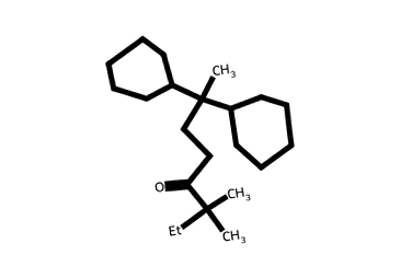 CCC(C)(C)C(=O)CCC(C)(C1CCCCC1)C1CCCCC1